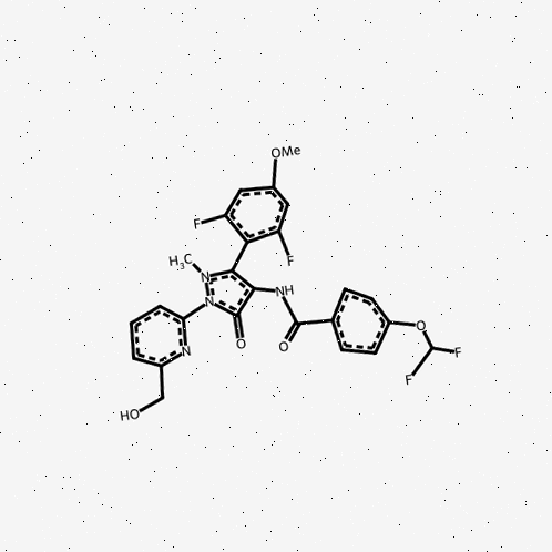 COc1cc(F)c(-c2c(NC(=O)c3ccc(OC(F)F)cc3)c(=O)n(-c3cccc(CO)n3)n2C)c(F)c1